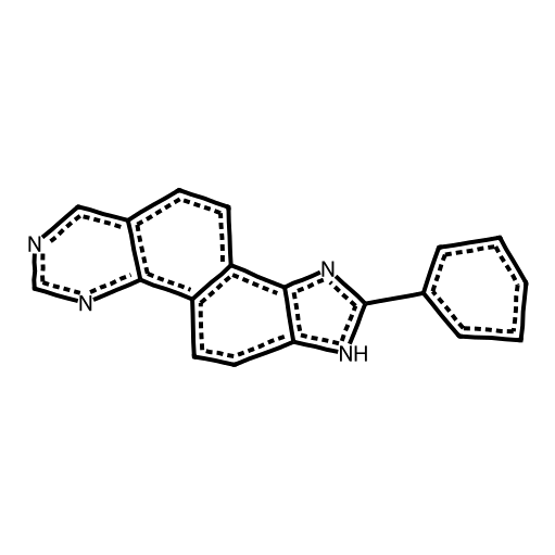 c1ccc(-c2nc3c(ccc4c3ccc3cncnc34)[nH]2)cc1